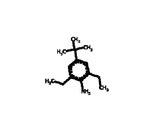 CCc1cc(C(C)(C)C)cc(CC)c1N